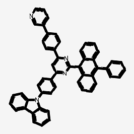 c1ccc(-c2c3ccccc3c(-c3nc(-c4ccc(-c5cccnc5)cc4)cc(-c4ccc(-n5c6ccccc6c6ccccc65)cc4)n3)c3ccccc23)cc1